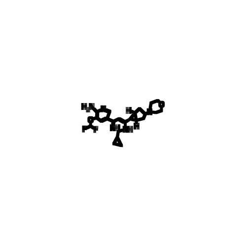 N=C(/C=C(\NCC1CC1)[C@H]1[C@@H]2CC(N3CCOCC3)C[C@@H]21)c1cnc(N)c(OC(F)F)c1